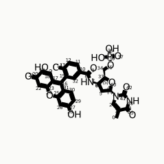 Cc1cn([C@H]2C[C@@H](NC(=O)c3ccc(C(=O)O)c(-c4c5ccc(=O)cc-5oc5cc(O)ccc45)c3)[C@@H](COP(=O)(O)O)O2)c(=O)[nH]c1=O